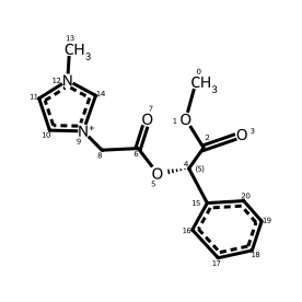 COC(=O)[C@@H](OC(=O)C[n+]1ccn(C)c1)c1ccccc1